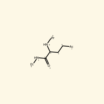 CCNC(=O)C(CCC(C)=O)NC(C)C